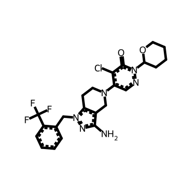 Nc1nn(Cc2ccccc2C(F)(F)F)c2c1CN(c1cnn(C3CCCCO3)c(=O)c1Cl)CC2